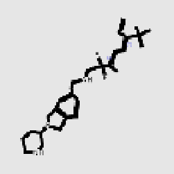 C=C/C(=C\C=C(/C)C(F)(F)CNCc1ccc2c(c1)CN(C1CCCNC1)C2)C(C)(C)C